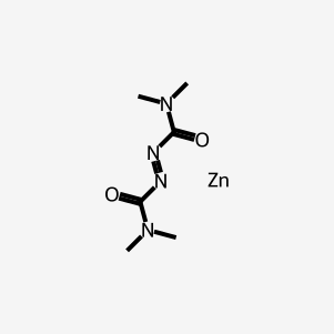 CN(C)C(=O)N=NC(=O)N(C)C.[Zn]